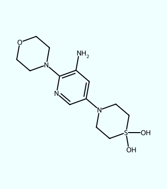 Nc1cc(N2CCS(O)(O)CC2)cnc1N1CCOCC1